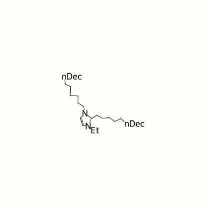 CCCCCCCCCCCCCCCCN1C=CN(CC)C1CCCCCCCCCCCCCCC